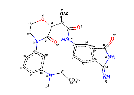 CC(=O)O[C@@H](C(=O)Nc1ccc2c(c1)C(=O)NC2=N)[C@H]1OCCN(c2cccc(N(C)CC(=O)O)c2)C1=O